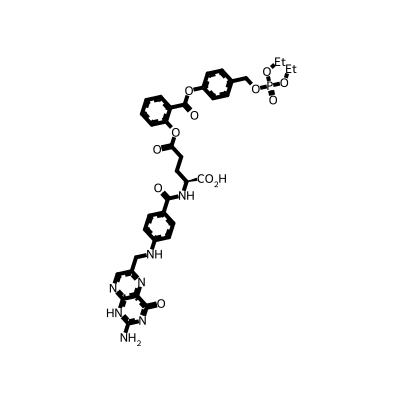 CCOP(=O)(OCC)OCc1ccc(OC(=O)c2ccccc2OC(=O)CC[C@H](NC(=O)c2ccc(NCc3cnc4[nH]c(N)nc(=O)c4n3)cc2)C(=O)O)cc1